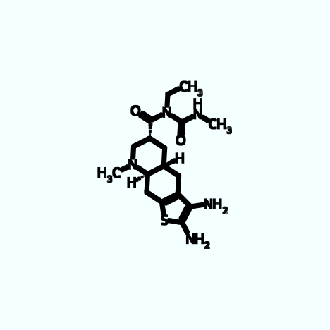 CCN(C(=O)NC)C(=O)[C@@H]1C[C@@H]2Cc3c(sc(N)c3N)C[C@H]2N(C)C1